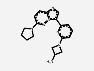 NC1CN(c2cccc(-c3cnc4ccc(N5CCCC5)nn34)n2)C1